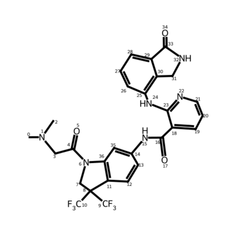 CN(C)CC(=O)N1CC(C(F)(F)F)(C(F)(F)F)c2ccc(NC(=O)c3cccnc3Nc3cccc4c3CNC4=O)cc21